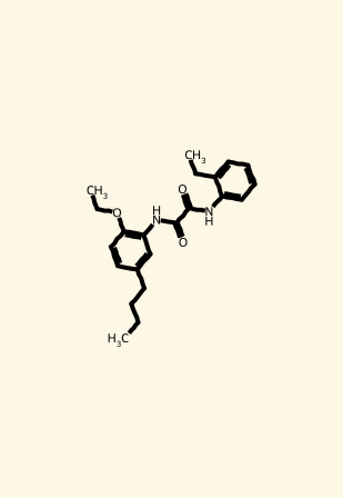 CCCCc1ccc(OCC)c(NC(=O)C(=O)Nc2ccccc2CC)c1